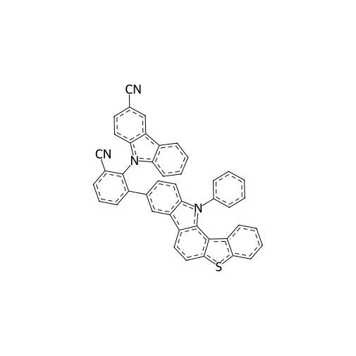 N#Cc1ccc2c(c1)c1ccccc1n2-c1c(C#N)cccc1-c1ccc2c(c1)c1ccc3sc4ccccc4c3c1n2-c1ccccc1